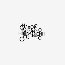 COC(=O)C1CC2(CN1C(=O)C(NC(=O)[C@@H](NC(=O)c1cnccn1)C1CCCCC1)C(C)(C)C)NC(=O)NC2=O